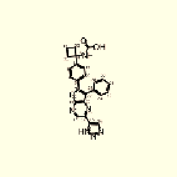 O=C(O)NC1(c2ccc(-c3oc4ncc(-c5cnn[nH]5)nc4c3-c3ccccc3)cc2)CCC1